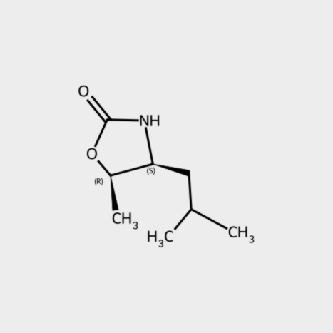 CC(C)C[C@@H]1NC(=O)O[C@@H]1C